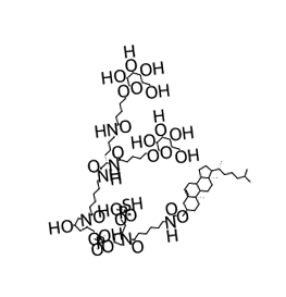 CC(C)CCC[C@@H](C)C1CCC2C3CC=C4CC(OC(=O)NCCCCCC(=O)N5C[C@H](OP(=O)(O)OCC6C[C@@H](O)CN6C(=O)CCCCCNC(=O)[C@H](CCCCNC(=O)CCCCOC6OC(CO)C(O)C(O)C6O)NC(=O)CCCCOC6OC(CO)C(O)C(O)C6O)CC5COP(=O)(O)S)CC[C@]4(C)C3CC[C@@]21C